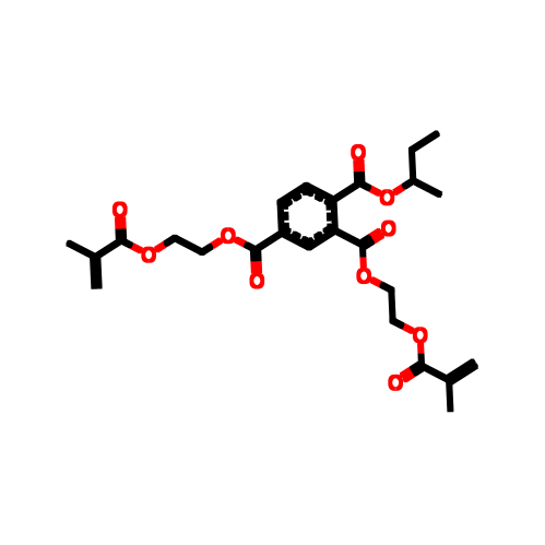 C=C(C)C(=O)OCCOC(=O)c1ccc(C(=O)OC(C)CC)c(C(=O)OCCOC(=O)C(=C)C)c1